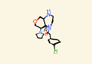 O=C(Cc1ccc(Cl)cc1)N1CCNC2COCC(N3CCCC3)[C@H]21